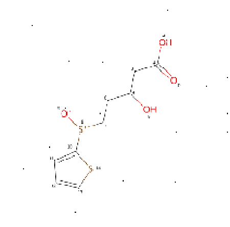 O=C(O)CC(O)CC[S+]([O-])c1cccs1